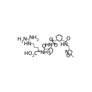 Cc1cc(CNC(=O)c2cccc(S(=O)(=O)Nc3ccsc3C(=O)N[C@@H](CCCNC(N)N)C(=O)O)c2)no1